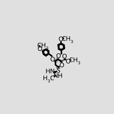 CNC(=N)S[C@@H]1C[C@@H](OCc2ccc(OC)cc2)[C@H](OCc2ccc(OC)cc2)[C@@H](C(=O)OC)O1